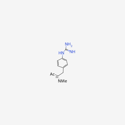 CN[C@@H](Cc1ccc(NC(=N)N)cc1)C(C)=O